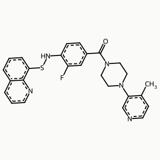 Cc1ccncc1N1CCN(C(=O)c2ccc(NSc3cccc4cccnc34)c(F)c2)CC1